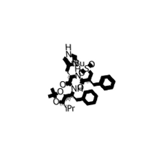 CC(C)[C@@H]1OC(C)(C)O[C@@H]1[C@H](CC1CCCCC1)NC(=O)[C@H](Cc1c[nH]cn1)NC(=O)[C@H](Cc1ccccc1)CS(=O)(=O)C(C)(C)C